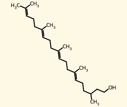 CC(C)=CCC/C(C)=C/CC/C(C)=C/CC/C(C)=C/CCC(C)CCO